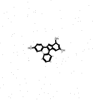 CCCC1C=C(O)C=C2C1=CC(c1ccc(O)cc1)=C2c1ccccc1